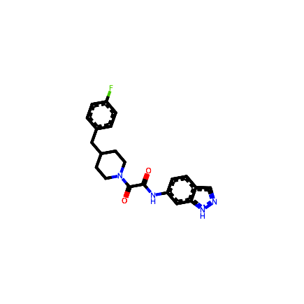 O=C(Nc1ccc2cn[nH]c2c1)C(=O)N1CCC(Cc2ccc(F)cc2)CC1